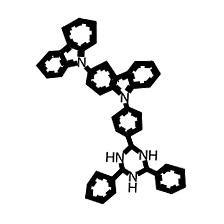 c1ccc(C2NC(c3ccccc3)NC(c3ccc(-n4c5ccccc5c5cc(-n6c7ccccc7c7ccccc76)ccc54)cc3)N2)cc1